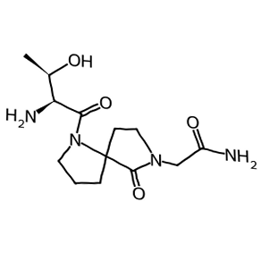 C[C@@H](O)[C@H](N)C(=O)N1CCCC12CCN(CC(N)=O)C2=O